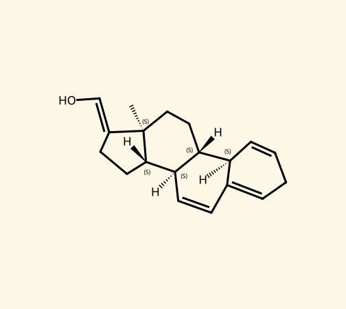 C[C@]12CC[C@H]3[C@@H](C=CC4=CCC=C[C@@H]43)[C@@H]1CCC2=CO